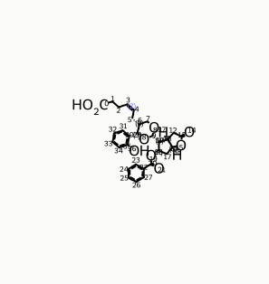 O=C(O)CC/C=C\C[C@@H]1COC([C@@H]2[C@H]3CC(=O)O[C@H]3C[C@H]2OC(=O)c2ccccc2)O[C@@H]1c1ccccc1O